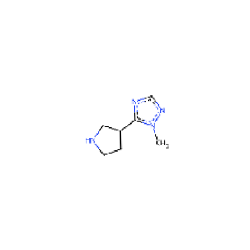 Cn1ncnc1C1CCNC1